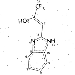 O/C(=C\c1nc2ccccc2[nH]1)C(F)(F)F